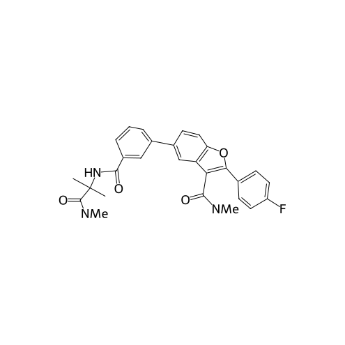 CNC(=O)c1c(-c2ccc(F)cc2)oc2ccc(-c3cccc(C(=O)NC(C)(C)C(=O)NC)c3)cc12